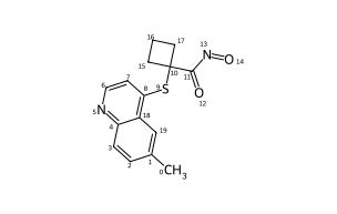 Cc1ccc2nccc(SC3(C(=O)N=O)CCC3)c2c1